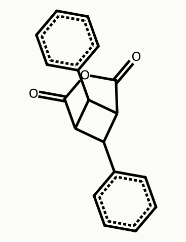 O=C1OC(=O)C2C(c3ccccc3)C1C2c1ccccc1